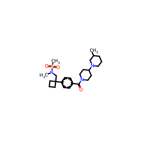 CC1CCCN(C2CCN(C(=O)c3ccc(C4(CN(C)S(C)(=O)=O)CCC4)cc3)CC2)C1